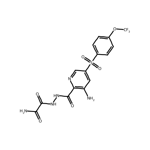 NC(=O)C(=O)NNC(=O)c1ncc(S(=O)(=O)c2ccc(OC(F)(F)F)cc2)cc1N